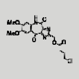 COc1cc2[nH]c(=O)c3nn(COC(=O)CCCCl)nc3c(=O)c2cc1OC